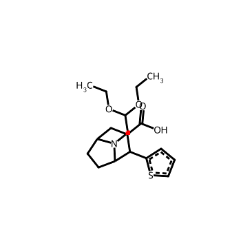 CCOC(CN1C2CCC1C(c1cccs1)C(C(=O)O)C2)OCC